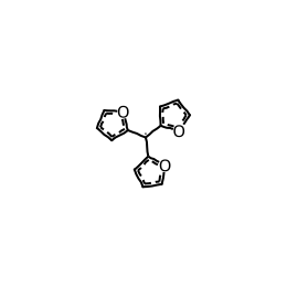 c1coc([C](c2ccco2)c2ccco2)c1